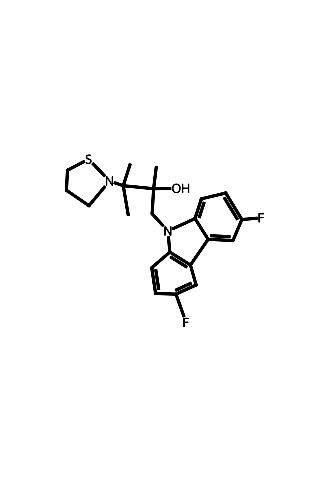 CC(O)(Cn1c2ccc(F)cc2c2cc(F)ccc21)C(C)(C)N1CCCS1